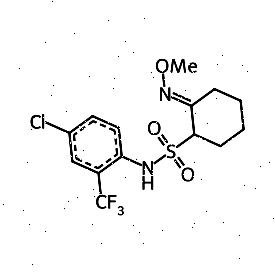 CON=C1CCCCC1S(=O)(=O)Nc1ccc(Cl)cc1C(F)(F)F